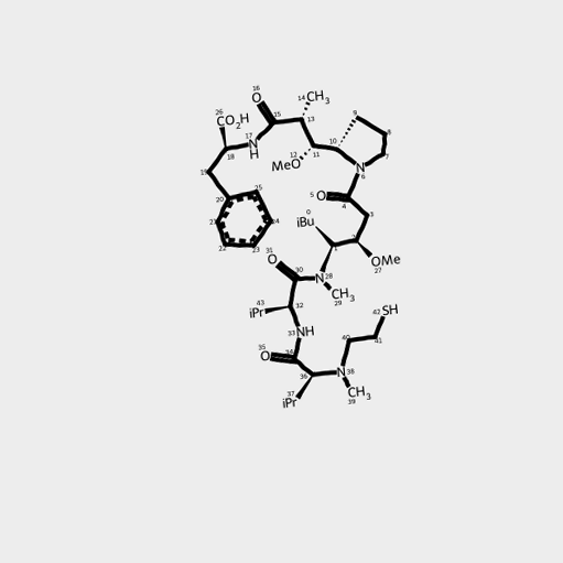 CC[C@H](C)[C@@H]([C@@H](CC(=O)N1CCC[C@H]1[C@H](OC)[C@@H](C)C(=O)N[C@@H](Cc1ccccc1)C(=O)O)OC)N(C)C(=O)[C@@H](NC(=O)[C@H](C(C)C)N(C)CCS)C(C)C